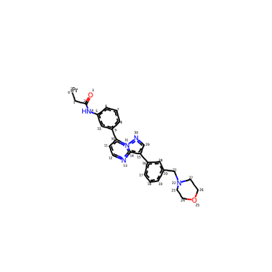 CC(C)CC(=O)Nc1cccc(-c2ccnc3c(-c4cccc(CN5CCOCC5)c4)cnn23)c1